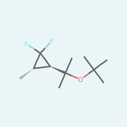 C[C@H]1[C@H](C(C)(C)OC(C)(C)C)C1(F)F